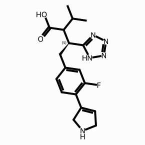 CC(C)C(C(=O)O)[C@H](Cc1ccc(C2=CCNC2)c(F)c1)c1nnn[nH]1